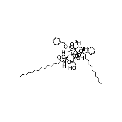 [3H]C(NC(=O)CCCCCCCCCCC)C(=O)O[C@]1(C(C)(CC(=O)OCc2ccccc2)C(=O)OCc2ccccc2)C[C@](O)(NC(=O)CCCCCCCCCCCCC)O[C@H](CO)[C@H]1O